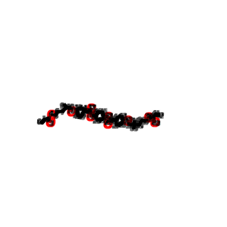 C=CC(=O)OCCCC(C)COc1ccc(C(=O)Oc2ccc(OC(=O)c3ccc(OCC(C)(C)CCCOC(=O)C=C)cc3)cc2)cc1